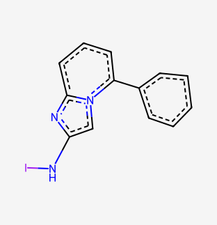 INc1cn2c(-c3ccccc3)cccc2n1